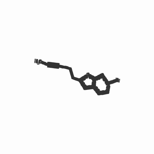 CC#CCCc1cc2ccc(Br)cc2o1